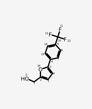 OCc1ccc(-c2ccc(C(F)(F)F)cc2)o1